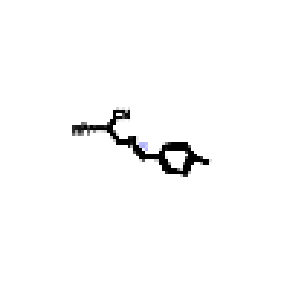 CCCC(C#N)C/N=C/c1ccc(C)cc1